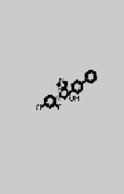 O[C@@]1(c2ccc(-c3ccccc3)cc2)C[C@H](c2ccc(Cl)cc2F)n2cncc21